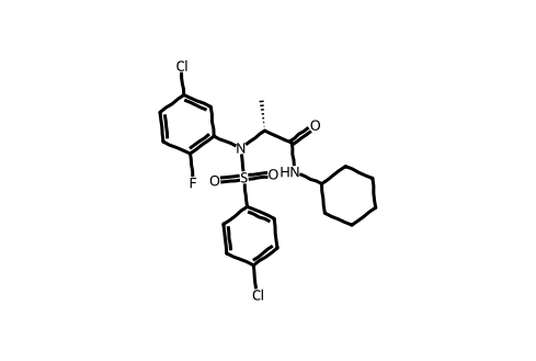 C[C@H](C(=O)NC1CCCCC1)N(c1cc(Cl)ccc1F)S(=O)(=O)c1ccc(Cl)cc1